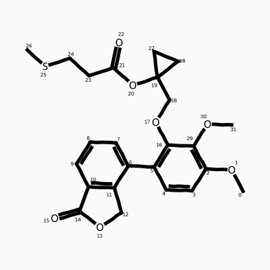 COc1ccc(-c2cccc3c2COC3=O)c(OCC2(OC(=O)CCSC)CC2)c1OC